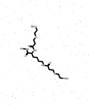 COCCOCCC(=O)NCCCCC(NC(=O)CCOCCOC)C(=O)NS